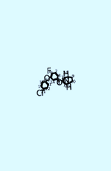 Fc1ccc(O[C@@H]2C[C@H]3CC[C@@H](C2)N3)cc1Oc1ccc(Cl)cc1